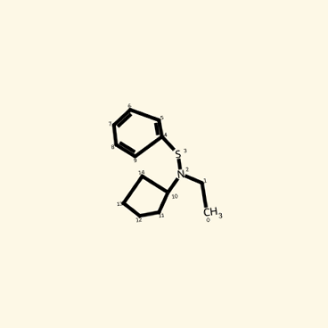 CCN(Sc1ccccc1)C1CCCC1